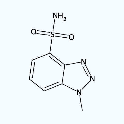 Cn1nnc2c(S(N)(=O)=O)cccc21